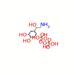 NCC(O)c1ccc(O)c(O)c1.O=S(=O)(O)O.O=S(=O)(O)O